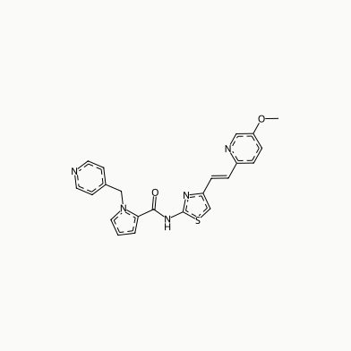 COc1ccc(C=Cc2csc(NC(=O)c3cccn3Cc3ccncc3)n2)nc1